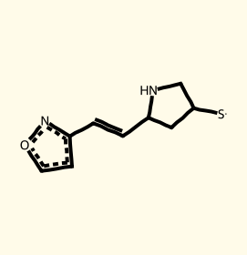 [S]C1CNC(C=Cc2ccon2)C1